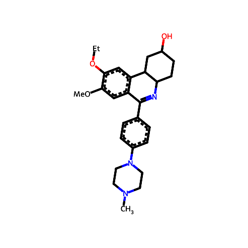 CCOc1cc2c(cc1OC)C(c1ccc(N3CCN(C)CC3)cc1)=NC1CCC(O)CC21